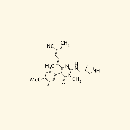 C=C/C(C#N)=C\C=C(/C)c1nc(NC[C@@H]2CCNC2)n(C)c(=O)c1-c1ccc(OC)c(F)c1